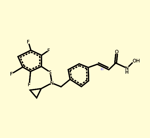 O=C(/C=C/c1ccc(CN(Sc2c(F)c(F)cc(F)c2F)C2CC2)cc1)NO